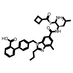 CCCc1nc2c(C)cc(C(=O)N[C@H](CC(C)C)C(N)SC(=O)C3CCC3)cc2n1Cc1ccc(-c2ccccc2C(=O)O)cc1